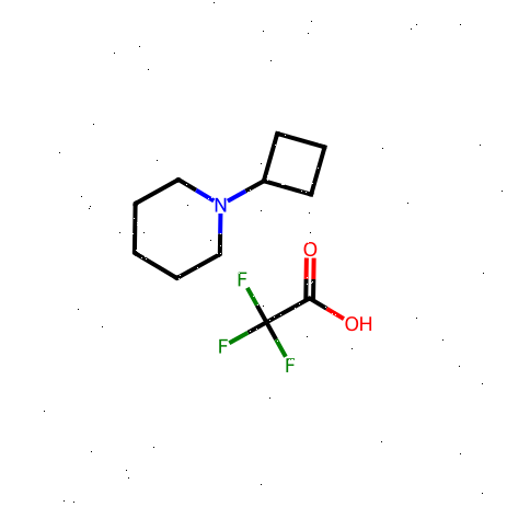 C1CCN(C2CCC2)CC1.O=C(O)C(F)(F)F